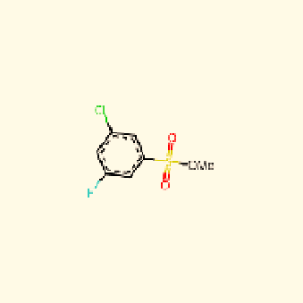 [CH2]OS(=O)(=O)c1cc(F)cc(Cl)c1